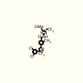 COCc1nc(NC(=O)c2ccc(C3=NOC(c4cc(Cl)cc(Cl)c4)(C(F)(F)F)C3)cc2C)nn1CC(F)(F)F